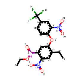 CCO[PH](=O)c1cc(Oc2ccc(C(F)(F)F)cc2[N+](=O)[O-])c(CC)cc1[N+](=O)[O-]